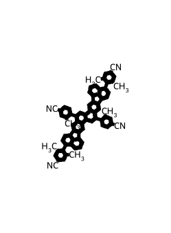 Cc1cc(C#N)ccc1-c1cc2c3cc4c(cc3c(-c3ccc(C#N)cc3C)cc2c2cc3c(cc12)-c1ccc(-c2c(C)cc(C#N)cc2C)c2cccc-3c12)-c1ccc(-c2c(C)cc(C#N)cc2C)c2cccc-4c12